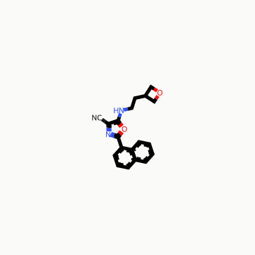 N#Cc1nc(-c2cccc3ccccc23)oc1NCCC1COC1